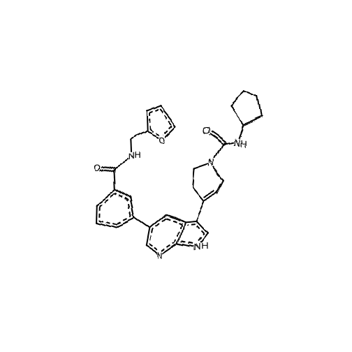 O=C(NCc1ccco1)c1cccc(-c2cnc3[nH]cc(C4=CCN(C(=O)NC5CCCC5)CC4)c3c2)c1